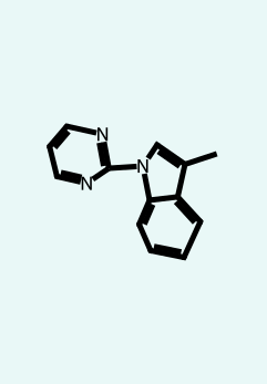 Cc1cn(-c2ncccn2)c2ccccc12